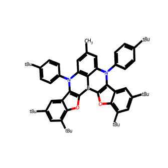 Cc1cc2c3c(c1)N(c1ccc(C(C)(C)C)cc1)c1c(oc4c(C(C)(C)C)cc(C(C)(C)C)cc14)B3c1oc3c(C(C)(C)C)cc(C(C)(C)C)cc3c1N2c1ccc(C(C)(C)C)cc1